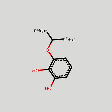 CCCCCCCC(CCCCC)Oc1cccc(O)c1O